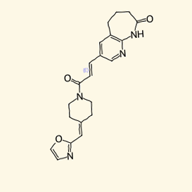 O=C1CCCc2cc(/C=C/C(=O)N3CCC(=Cc4ncco4)CC3)cnc2N1